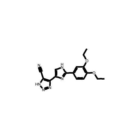 CCOc1ccc(-c2nc(-c3nn[nH]c3C#N)c[nH]2)cc1OCC